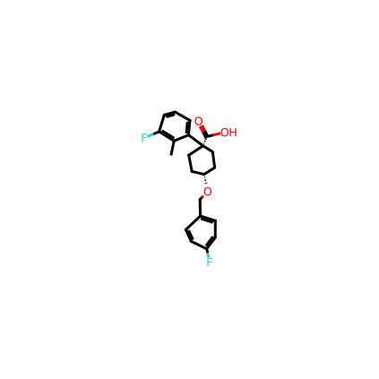 Cc1c(F)cccc1[C@]1(C(=O)O)CC[C@@H](OCc2ccc(F)cc2)CC1